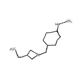 CCC1CN(CC2CCC(NC)CC2)C1